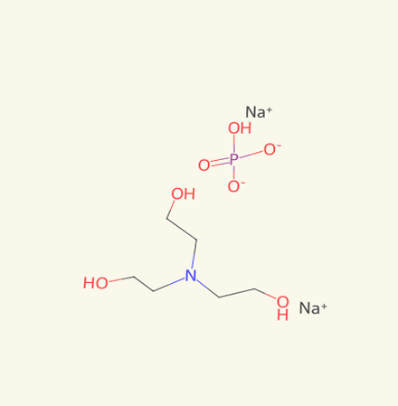 O=P([O-])([O-])O.OCCN(CCO)CCO.[Na+].[Na+]